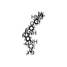 C=CC(=O)N1CCC(Nc2cc3c(Nc4ccc(Oc5ccnc(Nc6ncco6)c5)cc4F)ncnc3cc2OC)CC1